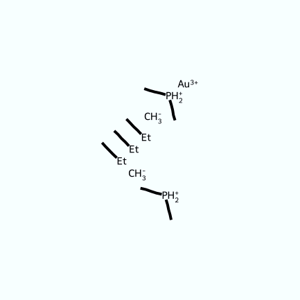 C[CH-]C.C[CH-]C.C[CH-]C.C[PH2+]C.C[PH2+]C.[Au+3].[CH3-].[CH3-]